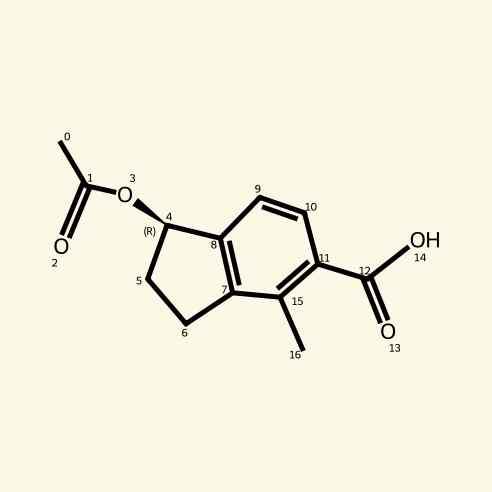 CC(=O)O[C@@H]1CCc2c1ccc(C(=O)O)c2C